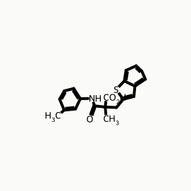 Cc1cccc(NC(=O)C(C)(Cc2cc3ccccc3s2)C(=O)O)c1